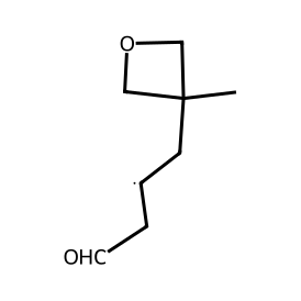 CC1(C[CH]CC=O)COC1